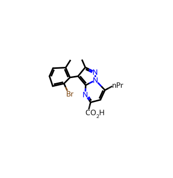 CCCc1cc(C(=O)O)nc2c(-c3c(C)cccc3Br)c(C)nn12